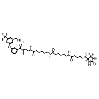 NCc1cc(Oc2cccc(C(=O)NCCNC(=O)CCCCCNC(=O)CCCCCNC(=O)CCCC[C@@H]3SC[C@@H]4NC(=O)N[C@@H]43)c2)nc(C(F)(F)F)c1